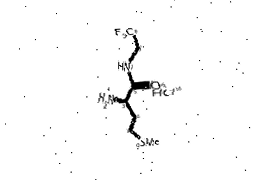 CSCCC(N)C(=O)NCC(F)(F)F.Cl